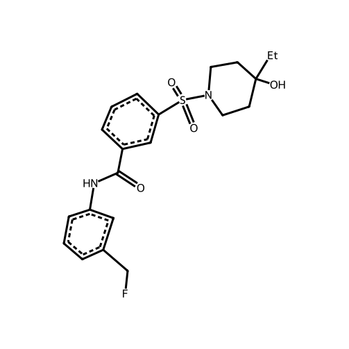 CCC1(O)CCN(S(=O)(=O)c2cccc(C(=O)Nc3cccc(CF)c3)c2)CC1